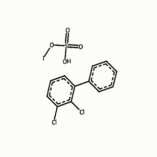 Clc1cccc(-c2ccccc2)c1Cl.O=S(=O)(O)OI